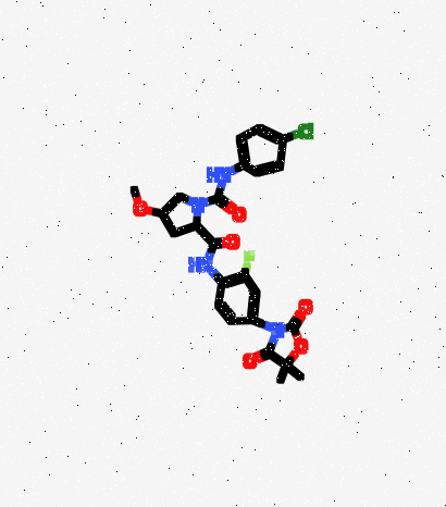 COC1CC(C(=O)Nc2ccc(N3C(=O)OC(C)(C)C3=O)cc2F)N(C(=O)Nc2ccc(Cl)cc2)C1